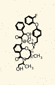 CC(CO)N1C[C@@H](C)[C@@H](CN(C)Cc2ccc(Oc3ccccc3F)cc2)Oc2c(NC(=O)C(O)c3ccccc3)cccc2C1=O